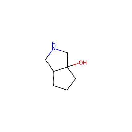 OC12CCCC1CNC2